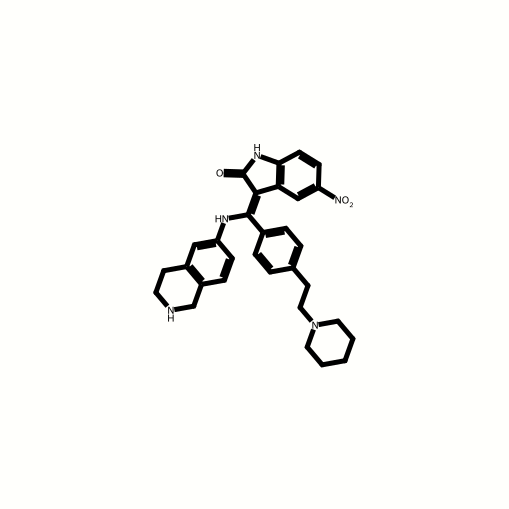 O=C1Nc2ccc([N+](=O)[O-])cc2C1=C(Nc1ccc2c(c1)CCNC2)c1ccc(CCN2CCCCC2)cc1